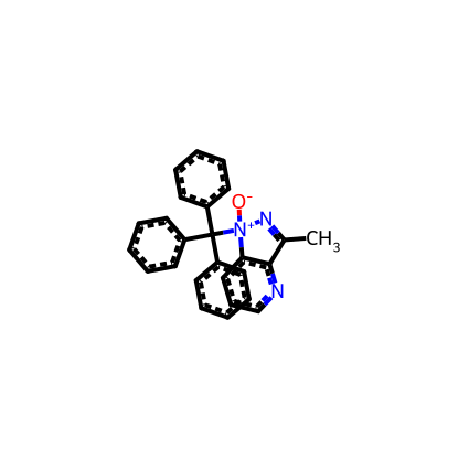 CC1=N[N+]([O-])(C(c2ccccc2)(c2ccccc2)c2ccccc2)c2cccnc21